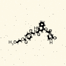 CCCCOC(=O)N1CCN(C(=O)CNC(=O)c2cc(OCC(=O)N3CCNC(=O)C3)c3ccccc3n2)CC1